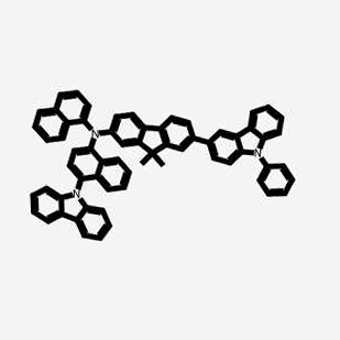 CC1(C)c2cc(-c3ccc4c(c3)c3ccccc3n4-c3ccccc3)ccc2-c2ccc(N(c3cccc4ccccc34)c3ccc(-n4c5ccccc5c5ccccc54)c4ccccc34)cc21